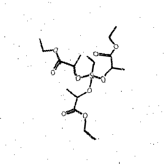 CCOC(=O)C(C)O[Si](CC)(OC(C)C(=O)OCC)OC(C)C(=O)OCC